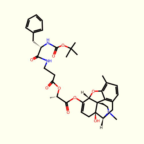 Cc1ccc2c3c1O[C@H]1C(OC(=O)[C@H](C)OC(=O)CCNC(=O)[C@H](Cc4ccccc4)NC(=O)OC(C)(C)C)=CC[C@@]4(O)[C@@H](C2)N(C)CC[C@]314